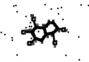 Clc1cc2c(Cl)c(Cl)ccc2c(Cl)c1Cl